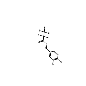 O=C(/C=C/c1ccc(F)c(Br)c1)C(F)(F)C(F)(F)F